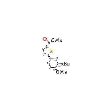 COC(=O)c1ccc(-c2ccc(OC)c(C(C)(C)C)c2)s1